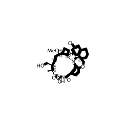 CO[C@H]1/C=C/[C@H](CO)[C@H](C)CS(=O)(=O)NC(=O)c2ccc3c(c2)N(C[C@@H]2CC[C@H]21)C[C@@]1(CCCc2cc(Cl)ccc21)CO3